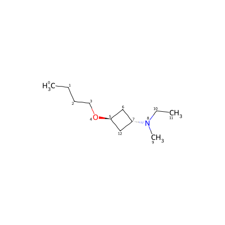 CCCCO[C@H]1C[C@H](N(C)CC)C1